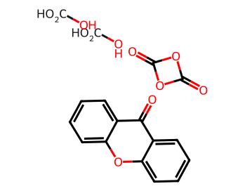 O=C(O)O.O=C(O)O.O=C1OC(=O)O1.O=c1c2ccccc2oc2ccccc12